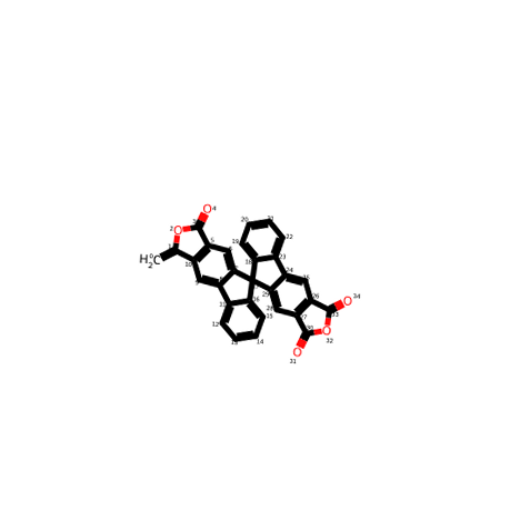 C=C1OC(=O)c2cc3c(cc21)-c1ccccc1C31c2ccccc2-c2cc3c(cc21)C(=O)OC3=O